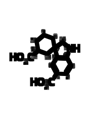 O=C(O)c1ccc2c(c1)C1(CCCC(C(=O)O)C1)CN2